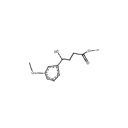 COC(=O)CCC(O)c1cccc(OC)c1